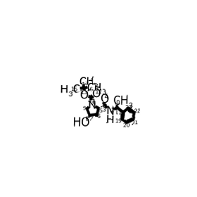 CC(NC(=O)[C@@H]1C[C@@H](O)CN1C(=O)OC(C)(C)C)c1ccccc1